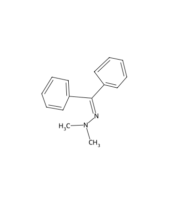 CN(C)N=C(c1ccccc1)c1ccccc1